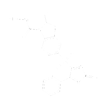 CCCNC(=O)N1c2ccc(S(=O)(=O)C3=NC(=O)N=C3c3ccccc3)cc2CC1C